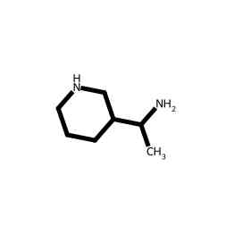 CC(N)C1CCCNC1